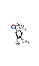 COc1cc(OC)c(C(C)C)cc1-c1ncoc1C(=O)O